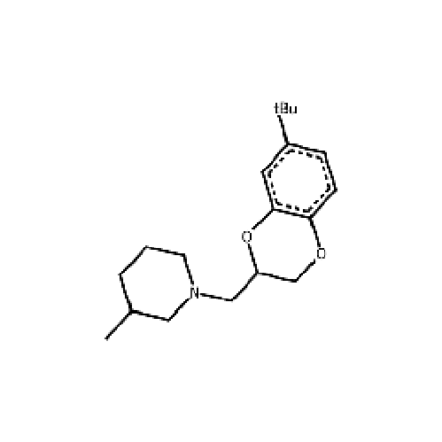 CC1CCCN(CC2COc3ccc(C(C)(C)C)cc3O2)C1